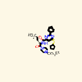 CCOC(=O)N1CCN(C(=O)[C@H](CCC(=O)O)NC(=O)c2cc(SC3CCCC3)nc(-c3ccccc3)n2)CC1